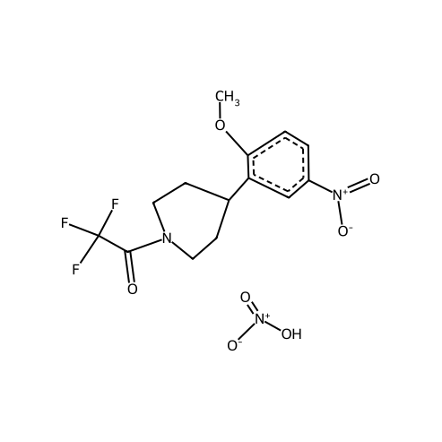 COc1ccc([N+](=O)[O-])cc1C1CCN(C(=O)C(F)(F)F)CC1.O=[N+]([O-])O